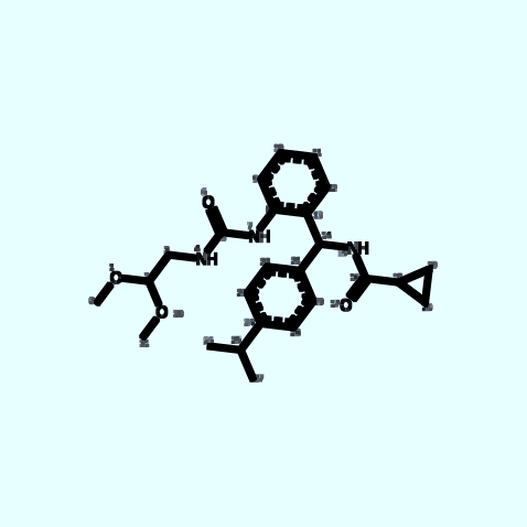 COC(CNC(=O)Nc1ccccc1C(NC(=O)C1CC1)c1ccc(C(C)C)cc1)OC